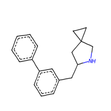 c1ccc(-c2cccc(CC3CC4(CC4)CN3)c2)cc1